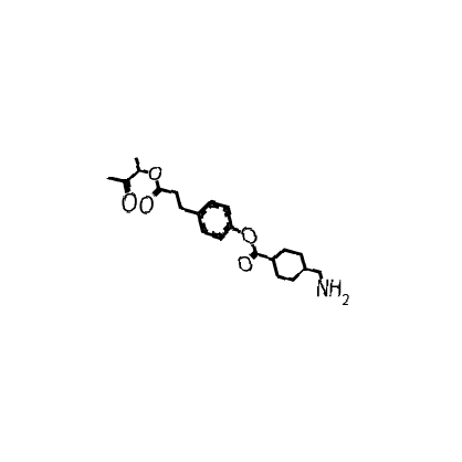 CC(=O)C(C)OC(=O)CCc1ccc(OC(=O)C2CCC(CN)CC2)cc1